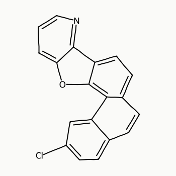 Clc1ccc2ccc3ccc4c5ncccc5oc4c3c2c1